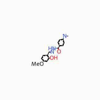 COc1ccc(/C=N/NC(=O)c2ccc(N(C)C)cc2)c(O)c1